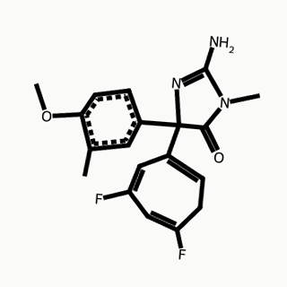 COc1ccc(C2(C3=CCC(F)=CC(F)=C3)N=C(N)N(C)C2=O)cc1C